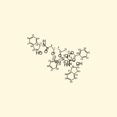 CC(C)(C)[Si](C)(C)OC(C[C@@H](CC(=O)N[C@H]1c2ccccc2C[C@H]1O)OCc1ccccc1)C[C@@H](CC(=O)N[C@H]1c2ccccc2C[C@H]1O)OCc1ccccc1